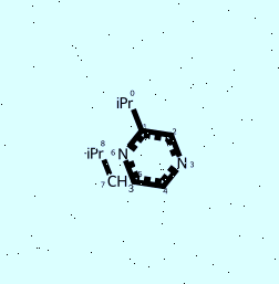 CC(C)c1cnccn1.C[C](C)C